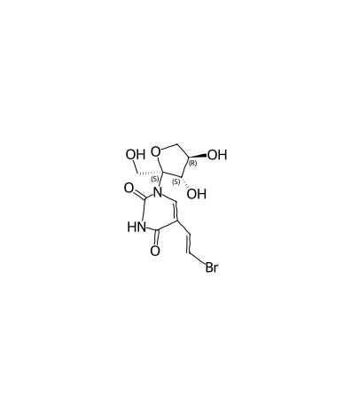 O=c1[nH]c(=O)n([C@@]2(CO)OC[C@@H](O)[C@@H]2O)cc1C=CBr